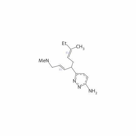 CC/C(C)=C/CC(/C=C/CNC)c1ccc(N)nn1